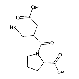 O=C(O)CC(CS)C(=O)N1CCC[C@H]1C(=O)O